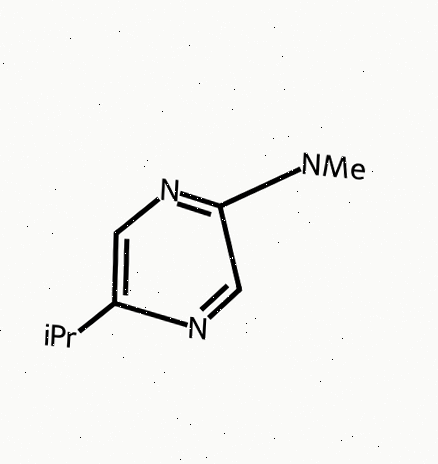 CNc1cnc(C(C)C)cn1